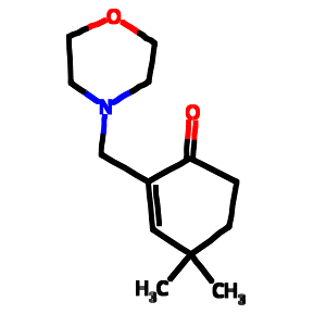 CC1(C)C=C(CN2CCOCC2)C(=O)CC1